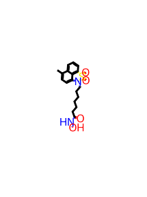 Cc1ccc2c3c(cccc13)S(=O)(=O)N2CCCCCCC(=O)NO